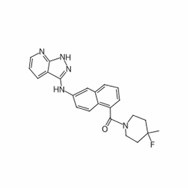 CC1(F)CCN(C(=O)c2cccc3cc(Nc4n[nH]c5ncccc45)ccc23)CC1